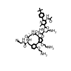 CC(=O)Nc1cc(C(=O)N[C@@H](CCN)C(=O)N(C)[C@@H]2C(=O)N[C@@H](C)C(=O)N[C@H](C(=O)NCC#N)Cc3ccc(OCCN)c(c3)-c3cc2ccc3OCCN)c(C)nc1-c1ccc(C(C)(C)C)cc1